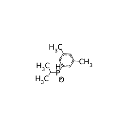 Cc1cc(C)cc([PH](=O)C(C)C)c1